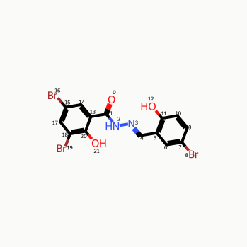 O=C(N/N=C/c1cc(Br)ccc1O)c1cc(Br)cc(Br)c1O